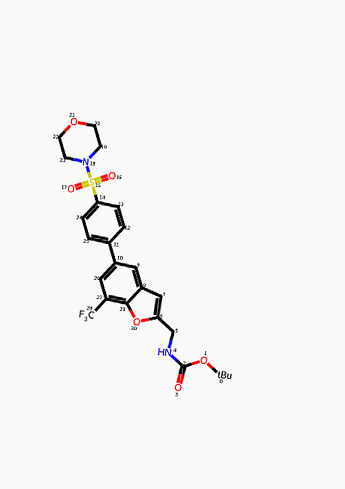 CC(C)(C)OC(=O)NCc1cc2cc(-c3ccc(S(=O)(=O)N4CCOCC4)cc3)cc(C(F)(F)F)c2o1